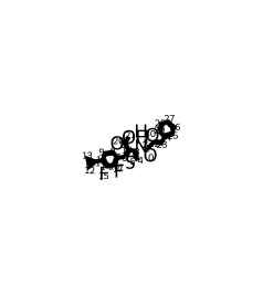 O=C(Nc1csc(-c2ccc(C3CC3)c(F)c2F)c1C(=O)O)c1cc2ccccc2o1